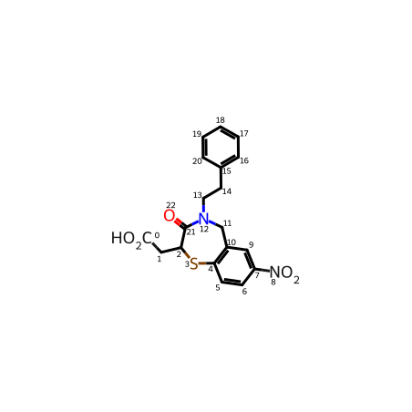 O=C(O)CC1Sc2ccc([N+](=O)[O-])cc2CN(CCc2ccccc2)C1=O